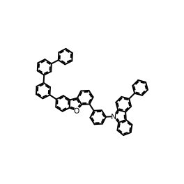 c1ccc(-c2cccc(-c3cccc(-c4ccc5oc6c(-c7cccc(-n8c9ccccc9c9cc(-c%10ccccc%10)ccc98)c7)cccc6c5c4)c3)c2)cc1